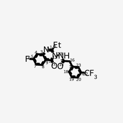 CCc1nc2cc(F)ccc2c(=O)n1NC(=O)Cc1cccc(C(F)(F)F)c1